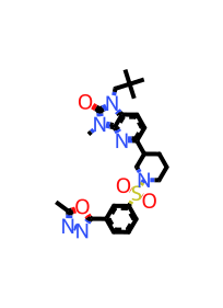 Cc1nnc(-c2cccc(S(=O)(=O)N3CCCC(c4ccc5c(n4)n(C)c(=O)n5CC(C)(C)C)C3)c2)o1